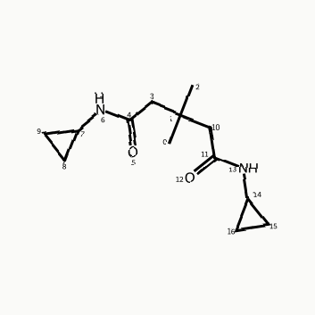 CC(C)(CC(=O)NC1CC1)CC(=O)NC1CC1